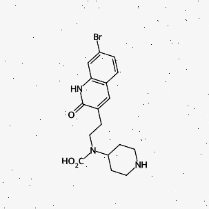 O=C(O)N(CCc1cc2ccc(Br)cc2[nH]c1=O)C1CCNCC1